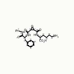 CC(C)NC(=O)[C@H](Cc1ccccc1)NC(=O)C1OC1C(=O)N[C@@H](CCCCN)C(=O)O